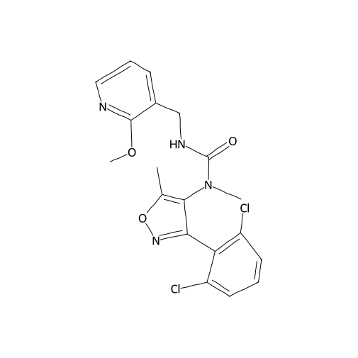 COc1ncccc1CNC(=O)N(C)c1c(-c2c(Cl)cccc2Cl)noc1C